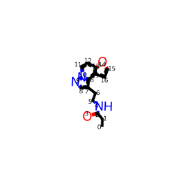 CCC(=O)NCCc1cnn2ccc3occc3c12